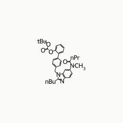 CCCCc1nc2ccc(N(C)C(=O)CCC)cc2n1Cc1ccc(-c2ccccc2OC(=O)OC(C)(C)C)cc1